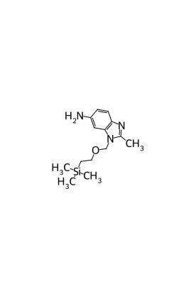 Cc1nc2ccc(N)cc2n1COCC[Si](C)(C)C